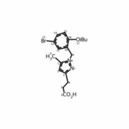 Cc1cc(CCC(=O)O)nn1Cc1cc(Br)ccc1OCC(C)C